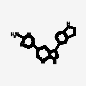 Nc1ncc(-c2cnc3[nH]cc(-c4ccc5c(c4)CCN5)c3c2)cn1